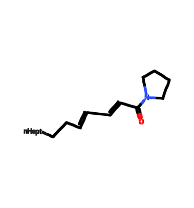 CCCCCCCCC/C=C/C=C/C(=O)N1CCCC1